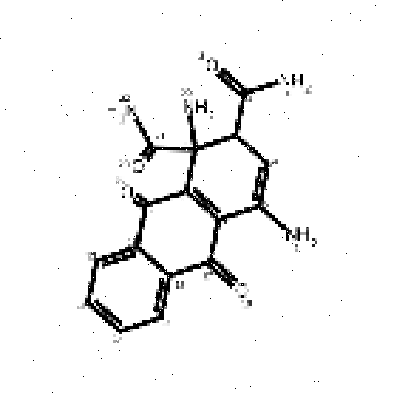 NC(=O)C1C=C(N)C2=C(C(=O)c3ccccc3C2=O)C1(N)C(N)=O